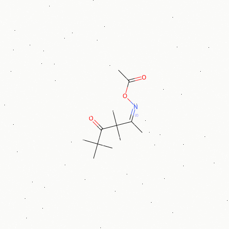 CC(=O)O/N=C(/C)C(C)(C)C(=O)C(C)(C)C